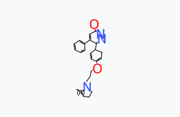 C[C@@H]1CCCN1CCCOC1=CCC(c2nn(C)c(=O)cc2-c2ccccc2)C=C1